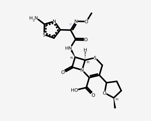 CO/N=C(\C(=O)N[C@@H]1C(=O)N2C(C(=O)O)=C(C3CC[C@@H](C)O3)CS[C@H]12)c1csc(N)n1